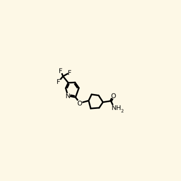 NC(=O)C1CCC(Oc2ccc(C(F)(F)F)cn2)CC1